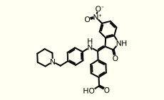 O=C1Nc2ccc([N+](=O)[O-])cc2C1=C(Nc1ccc(CN2CCCCC2)cc1)c1ccc(C(=O)O)cc1